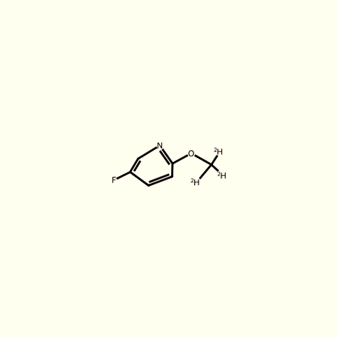 [2H]C([2H])([2H])Oc1ccc(F)cn1